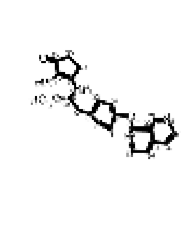 CCCC1=C(N[C@@H](Cc2ccc(Oc3nccc4ccncc34)cc2)C(=O)O)CCC1=O